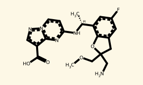 COCC1(CN)Cc2cc(F)cc([C@@H](C)Nc3ccn4ncc(C(=O)O)c4n3)c2O1